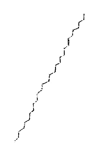 [CH2]CCCCCC=CCCCCCCCCCCCCCCCCCCCC[CH2]